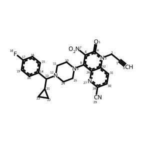 C#CCn1c(=O)c([N+](=O)[O-])c(N2CCN(C(c3ccc(F)cc3)C3CC3)CC2)c2nc(C#N)ccc21